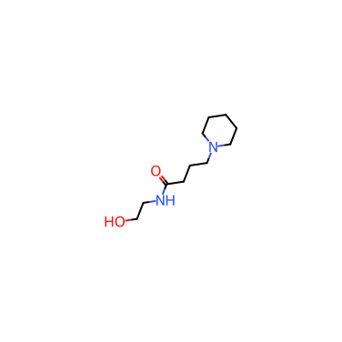 O=C(CCCN1CCCCC1)NCCO